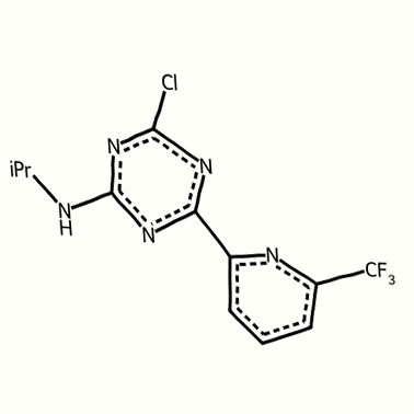 CC(C)Nc1nc(Cl)nc(-c2cccc(C(F)(F)F)n2)n1